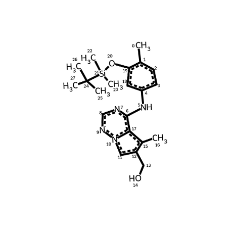 Cc1ccc(Nc2ncnn3cc(CO)c(C)c23)cc1O[Si](C)(C)C(C)(C)C